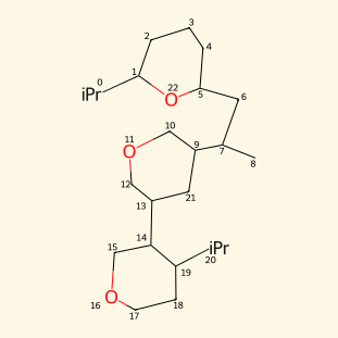 CC(C)C1CCCC(CC(C)C2COCC(C3COCCC3C(C)C)C2)O1